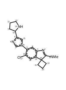 CNC1=Nc2cc(-n3cnc(C4CCCN4)c3)c(Cl)cc2C12CCC2